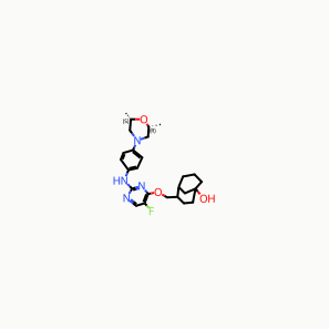 C[C@@H]1CN(c2ccc(Nc3ncc(F)c(OCC4CCC5(O)CCCC4C5)n3)cc2)C[C@H](C)O1